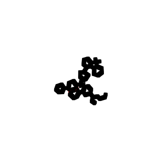 C=C/C(=C\C=C/C)c1ccc(N(c2ccc(-c3ccccc3)cc2)c2ccc(-c3cccc4c3-c3ccccc3C4(C)C)cc2)c(-c2ccccc2)c1